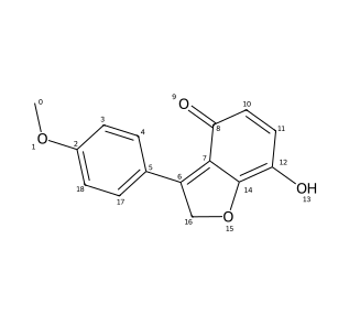 COc1ccc(C2=C3C(=O)C=CC(O)=C3OC2)cc1